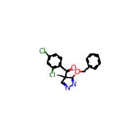 CC1(C(=O)c2ccc(Cl)cc2Cl)C=NN=C1OCc1ccccc1